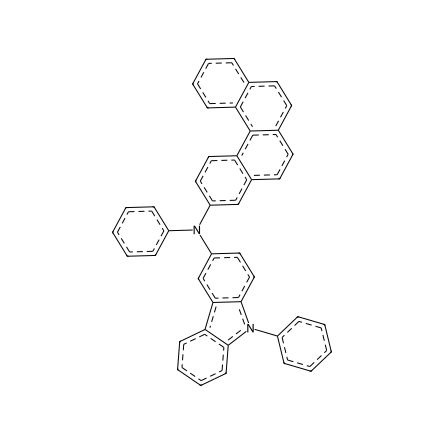 c1ccc(N(c2ccc3c(ccc4ccc5ccccc5c43)c2)c2ccc3c(c2)c2ccccc2n3-c2ccccc2)cc1